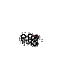 CC(C)(C)c1c(-c2ccccc2)ccc(CP)c1C(P)(C1CCCCN1)C1CCCCN1